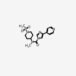 CN(C(=O)n1cnc(-c2ccncc2)c1)C1CCN(S(C)(=O)=O)CC1